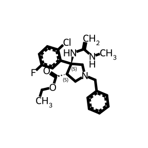 C=C(NC)N[C@@]1(c2cc(F)ccc2Cl)CN(Cc2ccccc2)C[C@@H]1C(=O)OCC